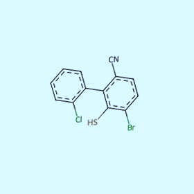 N#Cc1ccc(Br)c(S)c1-c1ccccc1Cl